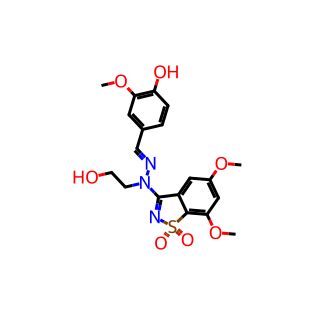 COc1cc(OC)c2c(c1)C(N(CCO)N=Cc1ccc(O)c(OC)c1)=NS2(=O)=O